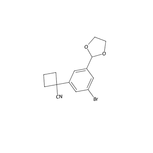 N#CC1(c2cc(Br)cc(C3OCCO3)c2)CCC1